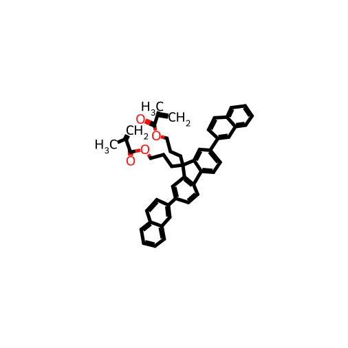 C=C(C)C(=O)OCCCC1(CCCOC(=O)C(=C)C)c2cc(-c3ccc4ccccc4c3)ccc2-c2ccc(-c3ccc4ccccc4c3)cc21